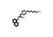 CCCCCCCN1CCN(CC(O)COc2cccc3ccccc23)CC1